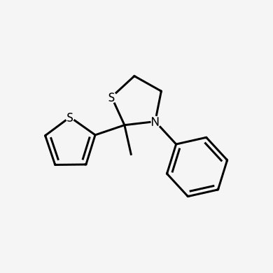 CC1(c2cccs2)SCCN1c1ccccc1